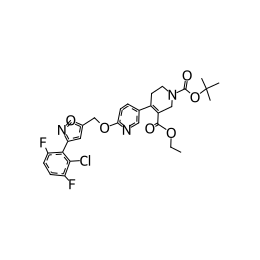 CCOC(=O)C1=C(c2ccc(OCc3cc(-c4c(F)ccc(F)c4Cl)no3)nc2)CCN(C(=O)OC(C)(C)C)C1